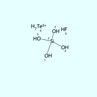 F.O[Si](O)(O)O.[TeH7+5]